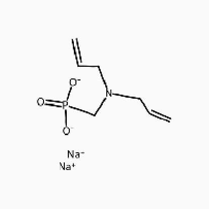 C=CCN(CC=C)CP(=O)([O-])[O-].[Na+].[Na+]